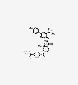 COC(=O)[C@H]1CC[C@H](C(=O)N2CCN(C(=O)c3cn4nc(-c5ccc(Cl)cc5)cc(C(C)C)c4n3)C(C)(C)C2)CC1